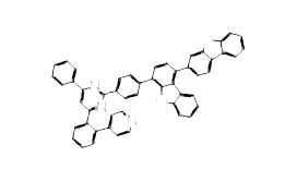 c1ccc(-c2cc(-c3ccccc3-c3ccncc3)nc(-c3ccc(-c4ccc(-c5ccc6c(c5)oc5ccccc56)c5c4oc4ccccc45)cc3)n2)cc1